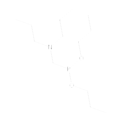 CCCOP(CN(CCC)CCC)OCCC